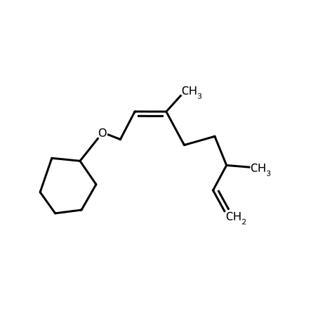 C=CC(C)CCC(C)=CCOC1CCCCC1